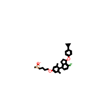 Cc1cc(OCCCC[S+](C)[O-])cc(C)c1-c1ccc(F)c2c1CCC2Oc1ccc(C2CC2)cc1